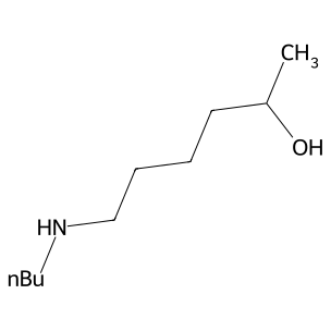 CCCCNCCCCC(C)O